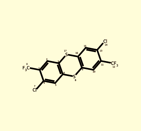 FC(F)(F)c1cc2c(cc1Cl)Sc1cc(C(F)(F)F)c(Cl)cc1S2